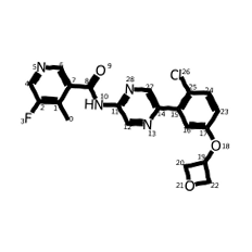 Cc1c(F)cncc1C(=O)Nc1cnc(-c2cc(OC3COC3)ccc2Cl)cn1